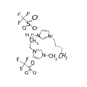 CCCC[n+]1ccn(C)c1.CC[n+]1ccn(C)c1.O=S(=O)([O-])C(F)(F)F.O=S(=O)([O-])C(F)(F)F